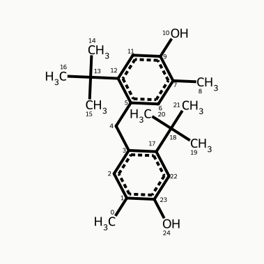 Cc1cc(Cc2cc(C)c(O)cc2C(C)(C)C)c(C(C)(C)C)cc1O